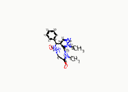 CN1C(=O)C[NH+]([O-])C(c2ccccc2)c2cnn(C)c21